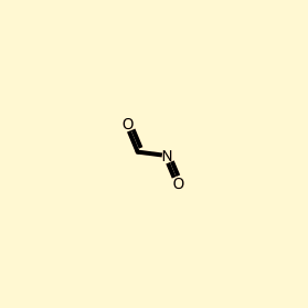 O=CN=O